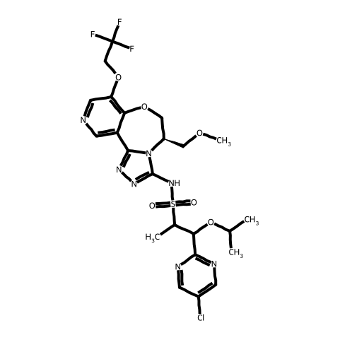 COC[C@@H]1COc2c(OCC(F)(F)F)cncc2-c2nnc(NS(=O)(=O)C(C)C(OC(C)C)c3ncc(Cl)cn3)n21